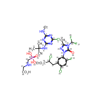 CCNc1nc(Cl)nc(NC(C)(C)C#N)n1.CCOC(=O)C(Cl)Cc1cc(-n2nc(C)n(C(F)F)c2=O)c(F)cc1Cl.O=C(O)CNCP(=O)(O)O